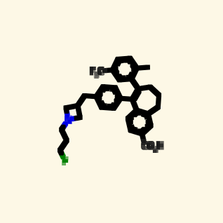 Cc1ccc(C(F)(F)F)cc1C1=C(c2ccc(CC3CN(CCCF)C3)cc2)c2ccc(C(=O)O)cc2CCC1